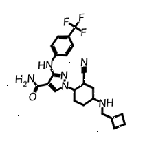 N#CC1CC(NCC2CCC2)CCC1n1cc(C(N)=O)c(Nc2ccc(C(F)(F)F)cc2)n1